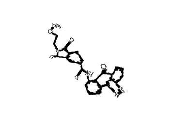 CCCOCCN1C(=O)c2ccc(C(=O)Nc3cccc4c3C(=O)c3cccc5snc-4c35)cc2C1=O